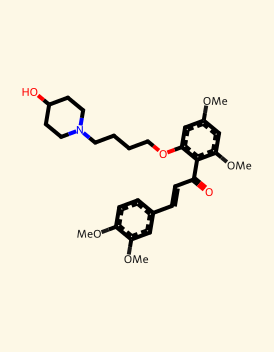 COc1cc(OC)c(C(=O)/C=C/c2ccc(OC)c(OC)c2)c(OCCCCN2CCC(O)CC2)c1